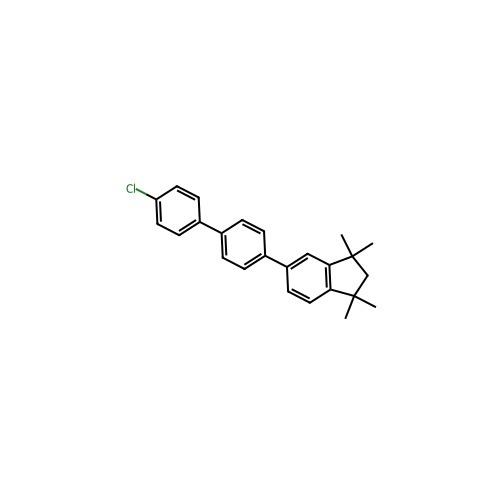 CC1(C)CC(C)(C)c2cc(-c3ccc(-c4ccc(Cl)cc4)cc3)ccc21